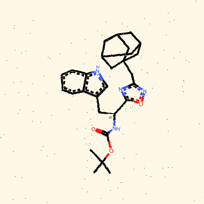 CC(C)(C)OC(=O)N[C@@H](Cc1c[nH]c2ccccc12)c1nc(CC23CC4CC(CC(C4)C2)C3)no1